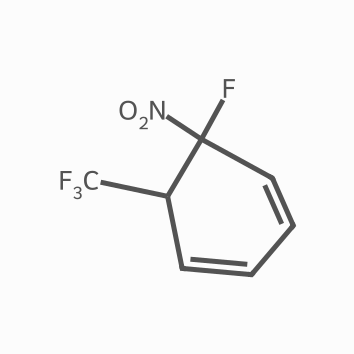 O=[N+]([O-])C1(F)C=CC=CC1C(F)(F)F